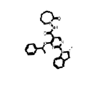 CC(Oc1nc(N2c3ccccc3C[C@H]2C)ncc1C(=O)NN1CCCCCC1=O)c1ccccc1